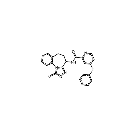 O=C(NC1CCc2ccccc2-n2c1noc2=O)c1cc(Oc2ccccc2)ccn1